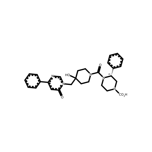 O=C(O)N1CCN(C(=O)N2CCC(O)(Cn3cnc(-c4ccccc4)cc3=O)CC2)[C@H](c2ccccc2)C1